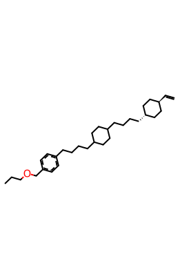 C=C[C@H]1CC[C@H](CCCCC2CCC(CCCCc3ccc(COCCC)cc3)CC2)CC1